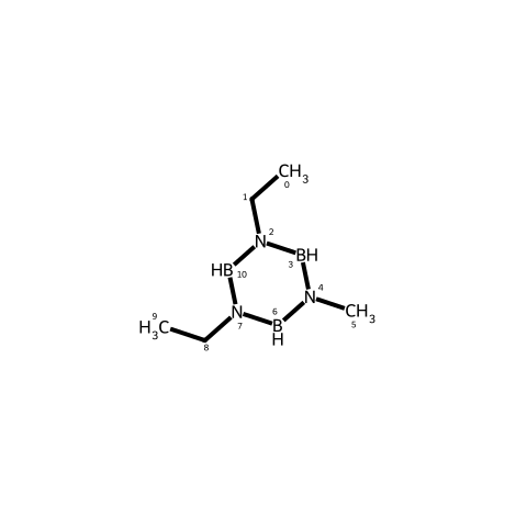 CCN1BN(C)BN(CC)B1